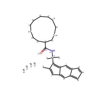 CC1=Cc2cc3c(cc2=C1[Si](C)(C)NC(=O)C1CCCCCCCCCCC1)C=CC=3.[Ti].[Ti].[Ti].[Ti]